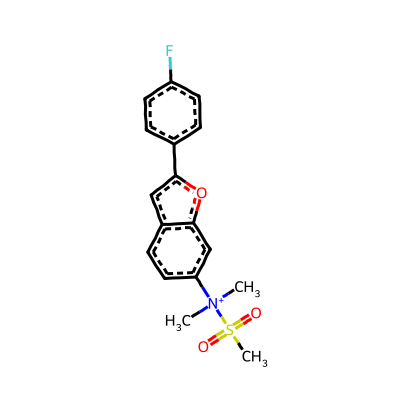 C[N+](C)(c1ccc2cc(-c3ccc(F)cc3)oc2c1)S(C)(=O)=O